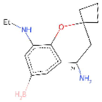 Bc1cc(NCC)c2c(c1)[C@@H](N)CC1(CCC1)O2